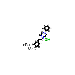 CCCCCc1cc(CCN2CCN(c3ccccc3)CC2)ccc1OC.Cl